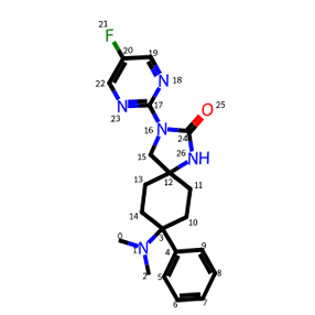 CN(C)C1(c2ccccc2)CCC2(CC1)CN(c1ncc(F)cn1)C(=O)N2